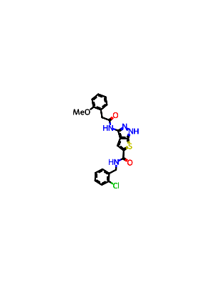 COc1ccccc1CC(=O)Nc1n[nH]c2sc(C(=O)NCc3ccccc3Cl)cc12